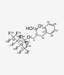 O=C(O)C(COS(=O)(=O)C(F)(C(F)(F)F)C(F)(F)C(F)(F)F)Cc1ccccc1